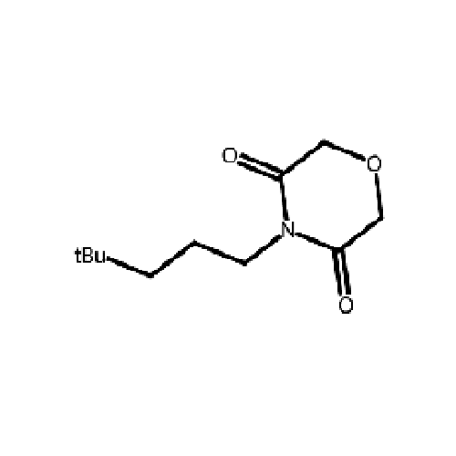 CC(C)(C)CCCN1C(=O)COCC1=O